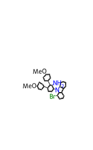 COc1ccc(-c2ccc(-n3c4ccccc4c4cccc(Br)c43)c(N)c2-c2ccc(OC)cc2)cc1